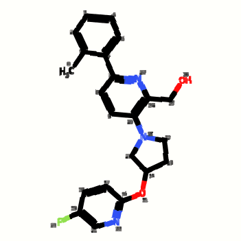 Cc1ccccc1-c1ccc(N2CCC(Oc3ccc(F)cn3)C2)c(CO)n1